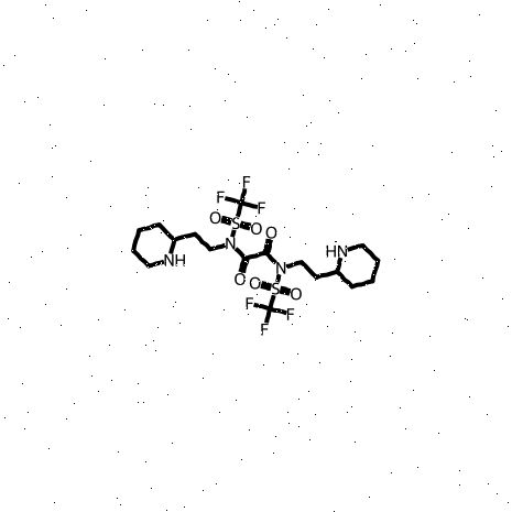 O=C(C(=O)N(CCC1CCCCN1)S(=O)(=O)C(F)(F)F)N(CCC1CCCCN1)S(=O)(=O)C(F)(F)F